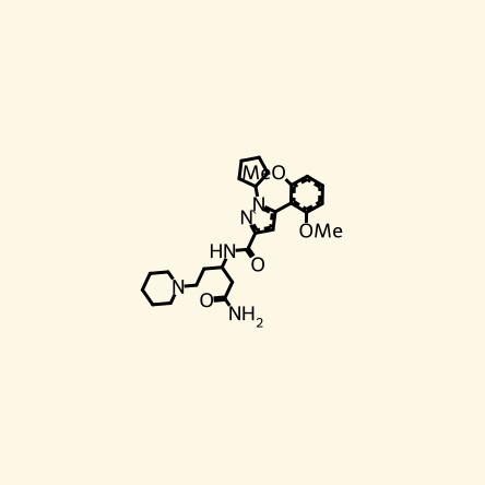 COc1cccc(OC)c1-c1cc(C(=O)NC(CCN2CCCCC2)CC(N)=O)nn1C1CCCC1